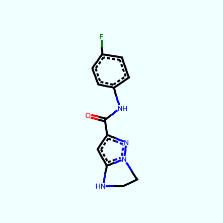 O=C(Nc1ccc(F)cc1)c1cc2n(n1)CCN2